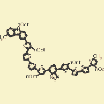 CCCCCCCCc1cc(C)sc1-c1ccc(-c2ccc(-c3sc(-c4ccc(-c5cc(CCCCCCCC)c(-c6ccc(-c7ccc(-c8sc(-c9ccc%10c(c9)c9cc(C)ccc9n%10CCCCCCCC)cc8CCCCCCCC)s7)s6)s5)c5nsnc45)cc3CCCCCCCC)s2)s1